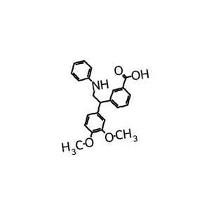 COc1ccc(C(CNc2ccccc2)c2cccc(C(=O)O)c2)cc1OC